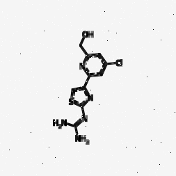 NC(N)=Nc1nc(-c2cc(Cl)cc(CO)n2)cs1